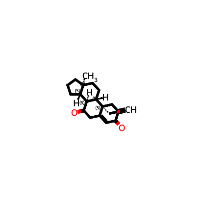 C#CC[C@]12CCC(=O)C=C1CC(=O)[C@H]1[C@@H]3CCC[C@@]3(C)CC[C@@H]12